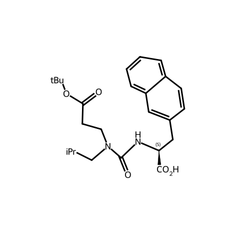 CC(C)CN(CCC(=O)OC(C)(C)C)C(=O)N[C@@H](Cc1ccc2ccccc2c1)C(=O)O